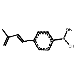 C=C(C)/C=C/c1ccc(B(O)O)cc1